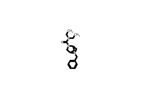 CCN(CC)C(=O)N1CC2CC1CN2Cc1ccccc1